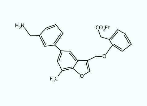 CCOC(=O)Cc1ccccc1OCc1coc2c(C(F)(F)F)cc(-c3cccc(CN)c3)cc12